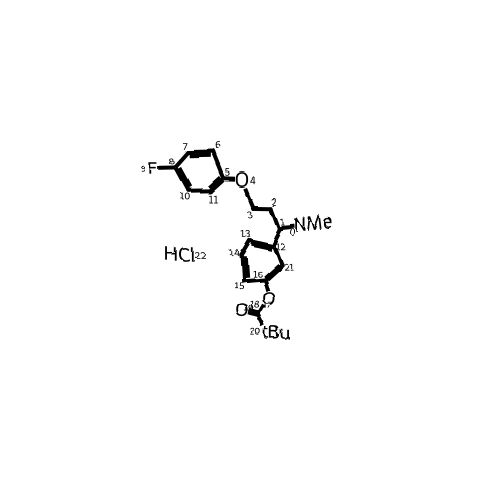 CNC(CCOc1ccc(F)cc1)c1cccc(OC(=O)C(C)(C)C)c1.Cl